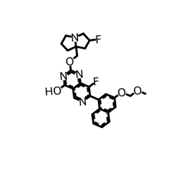 COCOc1cc(-c2ncc3c(O)nc(OCC45CCCN4CC(F)C5)nc3c2F)c2ccccc2c1